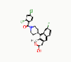 Cc1c(CC(=O)O)cc2ccc(F)cc2c1C1CCN(C(=O)c2ccc(Cl)cc2Cl)CC1